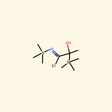 CCC(=N[Si](C)(C)C)C(C)(O)[Si](C)(C)C